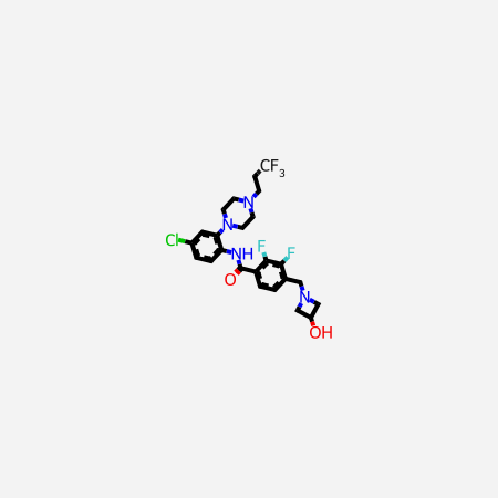 O=C(Nc1ccc(Cl)cc1N1CCN(CCC(F)(F)F)CC1)c1ccc(CN2CC(O)C2)c(F)c1F